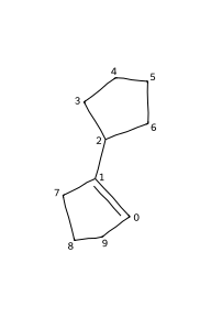 C1=C(C2CCCC2)CCC1